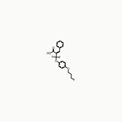 O=C(O)/C(=C\c1ccccc1)C(F)(F)Oc1ccc(OCCCF)cc1